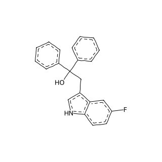 OC(Cc1c[nH]c2ccc(F)cc12)(c1ccccc1)c1ccccc1